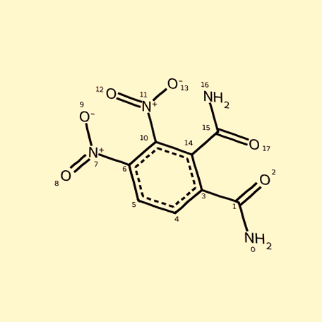 NC(=O)c1ccc([N+](=O)[O-])c([N+](=O)[O-])c1C(N)=O